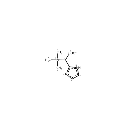 C[N+](C)(C)C(C(=O)[O-])c1ncc[nH]1